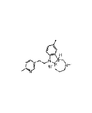 Cc1ccc2c(c1)[C@@H]1CN(C)CCC[C@H]1N2CCc1ccc(C)nc1